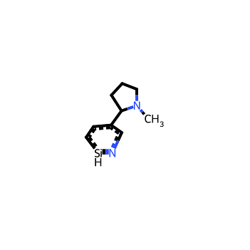 CN1CCCC1c1cc[siH]nc1